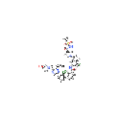 COc1nc(-c2cccc(-c3cccc(-c4nc5cc6c(c(Cl)c5o4)CC[C@H]6N4CC[C@@H](C(=O)NS(=O)(=O)C5CC5)C4)c3Cl)c2Cl)cnc1CN1CC[C@@H](O)C1